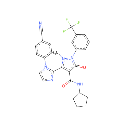 Cn1c(-c2nccn2-c2ccc(C#N)cc2)c(C(=O)NC2CCCC2)c(=O)n1-c1cccc(C(F)(F)F)c1